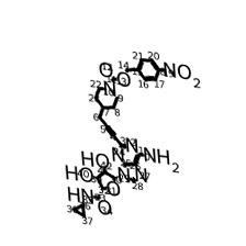 Nc1nc(C#CCC2CCN(C(=O)OCc3ccc([N+](=O)[O-])cc3)CC2)nc2c1ncn2[C@@H]1O[C@H](C(=O)NC2CC2)[C@H](O)C1O